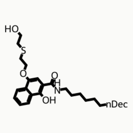 CCCCCCCCCCCCCCCCNC(=O)c1cc(OCCSCCO)c2ccccc2c1O